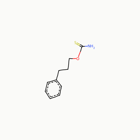 NC(=S)OCCCc1ccccc1